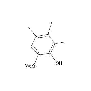 COc1cc(C)c(C)c(C)c1O